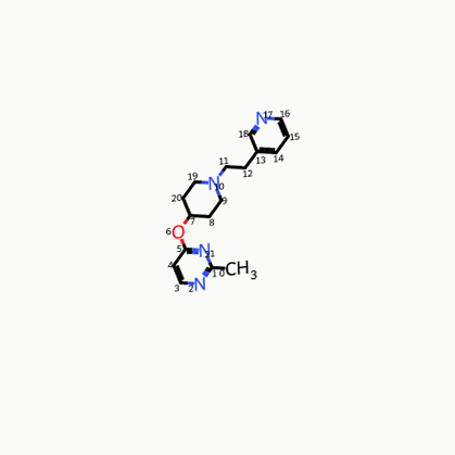 Cc1nccc(OC2CCN(CCc3cccnc3)CC2)n1